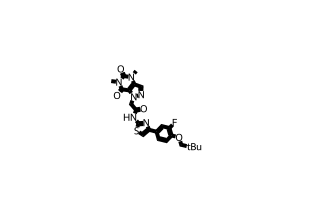 Cn1c(=O)c2c(cnn2CC(=O)Nc2nc(-c3ccc(OCC(C)(C)C)c(F)c3)cs2)n(C)c1=O